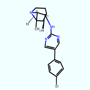 CCc1ccc(-c2cnc(N[C@H]3C4CCN(CC4)[C@@H]3C)nc2)cc1